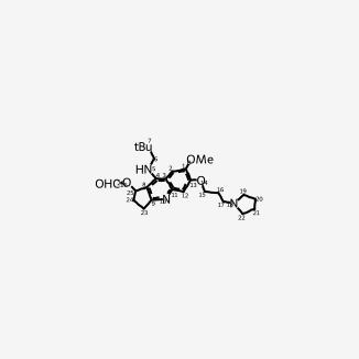 COc1cc2c(NCC(C)(C)C)c3c(nc2cc1OCCCN1CCCC1)CCC3OC=O